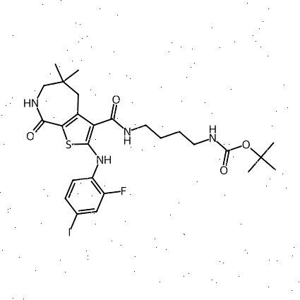 CC1(C)CNC(=O)c2sc(Nc3ccc(I)cc3F)c(C(=O)NCCCCNC(=O)OC(C)(C)C)c2C1